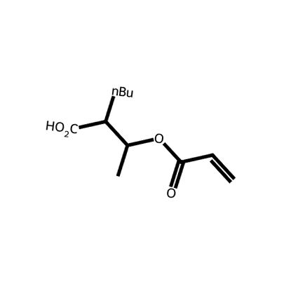 C=CC(=O)OC(C)C(CCCC)C(=O)O